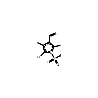 O=Cc1c(I)c(Br)n(S(=O)(=O)I)c1I